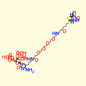 Nc1nc(=O)n([C@@H]2O[C@H](COP(=O)(O)O)[C@H](OP(=O)(O)O)C2O)cc1CCCNC(=O)CCOCCOCCOCCOCCNCCC(=O)CCCC[C@@H]1SC[C@@H]2NC(=O)N[C@@H]21